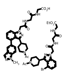 CC(=O)N1CCC(c2nn(CC(=O)NCC(=O)NCC(=O)O)c3cccc(-c4ccc5c(cnn5C)c4)c23)CC1.CCOC(=O)CNC(=O)CNC(=O)Cn1nc(C2CCN(C(C)=O)CC2)c2c(Br)cccc21